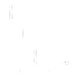 C=CCCC=C(COC)C(C)=O